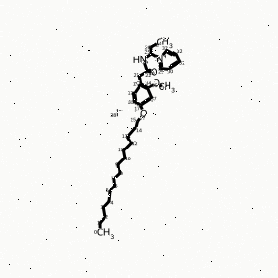 CCCCCCCCCCCCCCCCOc1ccc(CC(=O)NC(CC)[n+]2ccccc2)c(OC)c1.[I-]